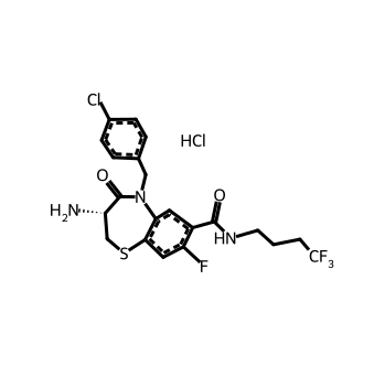 Cl.N[C@H]1CSc2cc(F)c(C(=O)NCCCC(F)(F)F)cc2N(Cc2ccc(Cl)cc2)C1=O